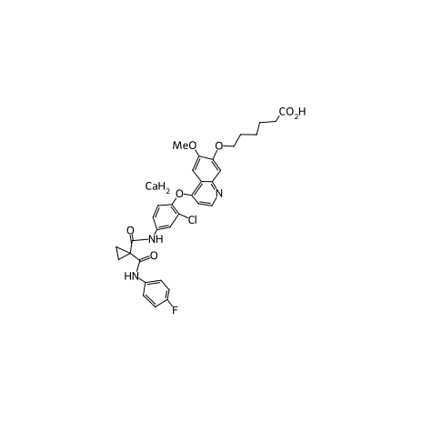 COc1cc2c(Oc3ccc(NC(=O)C4(C(=O)Nc5ccc(F)cc5)CC4)cc3Cl)ccnc2cc1OCCCCCC(=O)O.[CaH2]